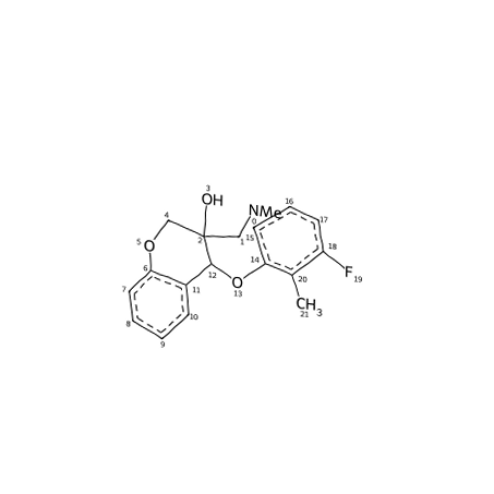 CNCC1(O)COc2ccccc2C1Oc1cccc(F)c1C